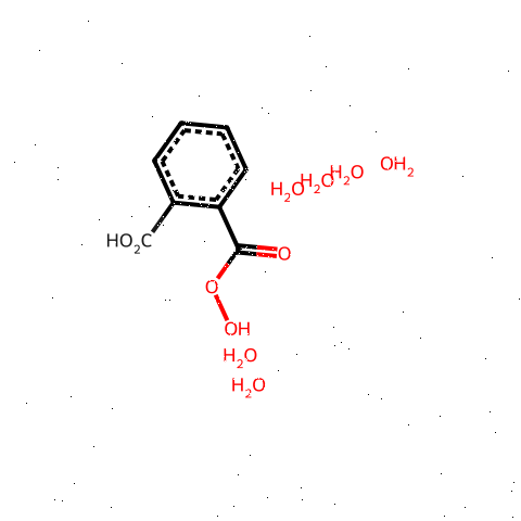 O.O.O.O.O.O.O=C(O)c1ccccc1C(=O)OO